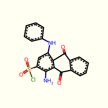 Nc1c(S(=O)(=O)Cl)cc(Nc2ccccc2)c2c1C(=O)c1ccccc1C2=O